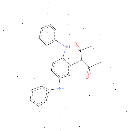 CC(=O)C(C(C)=O)c1cc(Nc2ccccc2)ccc1Nc1ccccc1